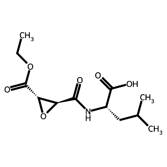 CCOC(=O)[C@H]1O[C@@H]1C(=O)N[C@@H](CC(C)C)C(=O)O